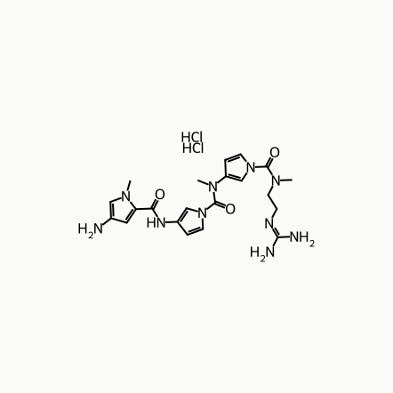 CN(CCN=C(N)N)C(=O)n1ccc(N(C)C(=O)n2ccc(NC(=O)c3cc(N)cn3C)c2)c1.Cl.Cl